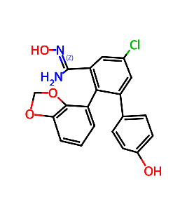 N/C(=N\O)c1cc(Cl)cc(-c2ccc(O)cc2)c1-c1cccc2c1OCO2